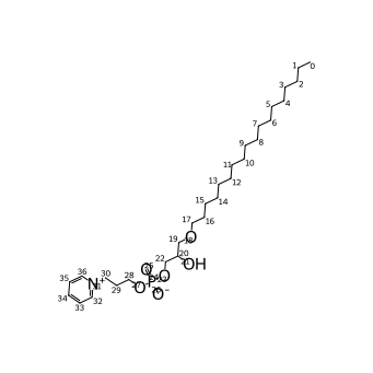 CCCCCCCCCCCCCCCCCCOCC(O)COP(=O)([O-])OCCC[n+]1ccccc1